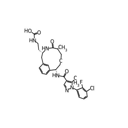 Cc1c(C(=O)N[C@H]2CCC[C@@H](C)C(=O)N[C@@H](CCNC(=O)O)Cc3cccc2c3)cnn1-c1cccc(Cl)c1F